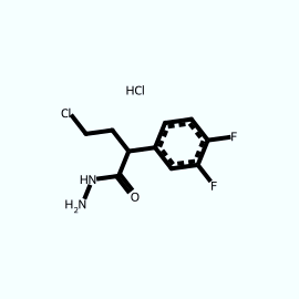 Cl.NNC(=O)C(CCCl)c1ccc(F)c(F)c1